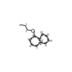 CCCOc1cccc2ccc[c]c12